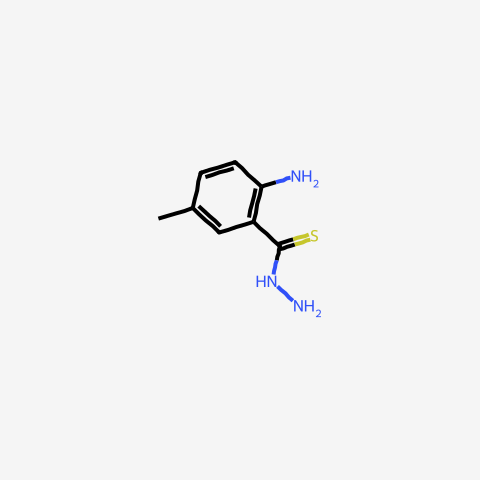 Cc1ccc(N)c(C(=S)NN)c1